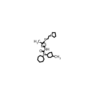 Cc1nc(NC(=O)N(C2CCCCCC2)C2CCC(C)CC2)sc1SCCN1CCCC1